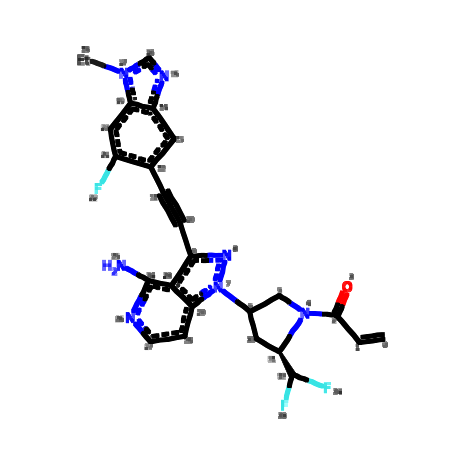 C=CC(=O)N1CC(n2nc(C#Cc3cc4ncn(CC)c4cc3F)c3c(N)nccc32)C[C@@H]1C(F)F